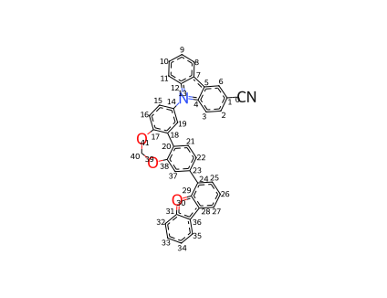 N#Cc1ccc2c(c1)c1ccccc1n2-c1ccc2c(c1)-c1ccc(-c3cccc4c3oc3ccccc34)cc1OCO2